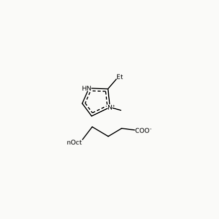 CCCCCCCCCCCC(=O)[O-].CCc1[nH]cc[n+]1C